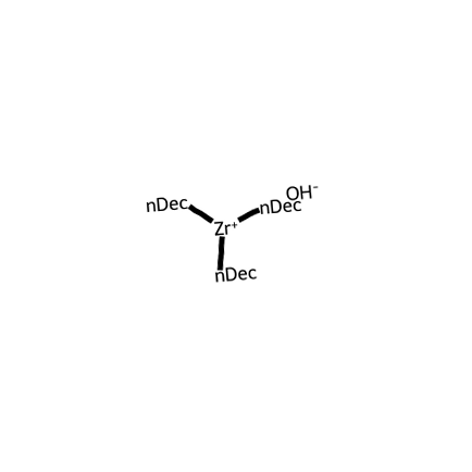 CCCCCCCCC[CH2][Zr+]([CH2]CCCCCCCCC)[CH2]CCCCCCCCC.[OH-]